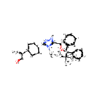 C=C(C=O)[C@H]1CC[C@H](c2nnc(CO[Si](c3ccccc3)(c3ccccc3)C(C)(C)C)n2C)CC1